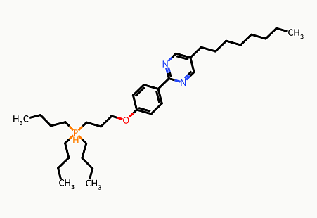 CCCCCCCCc1cnc(-c2ccc(OCCC[PH](CCCC)(CCCC)CCCC)cc2)nc1